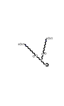 CCCCCCCC/C=C/CCCCCCCC(=O)OCCCN(CCCOC(=O)CCCCCCC/C=C/CCCCCCCC)CCCN1CCCC1